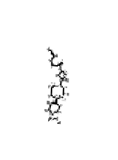 C=C(/C=C\C=C/C)C1CC(C2CCCC(C3CCN(P)CC3)CCC2)=NO1